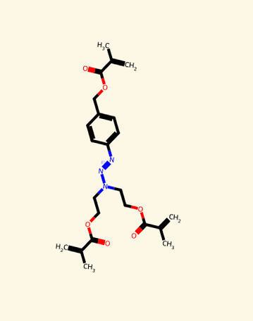 C=C(C)C(=O)OCCN(CCOC(=O)C(=C)C)/N=N/c1ccc(COC(=O)C(=C)C)cc1